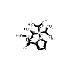 COC(=O)c1cccn1[Si](C(C)C)(C(C)C)C(C)C